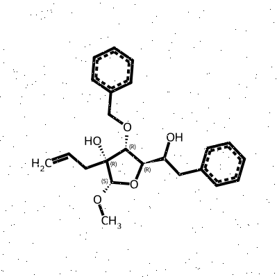 C=CC[C@]1(O)[C@@H](OC)O[C@H](C(O)Cc2ccccc2)[C@H]1OCc1ccccc1